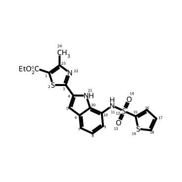 CCOC(=O)c1sc(-c2cc3cccc(NS(=O)(=O)c4cccs4)c3[nH]2)nc1C